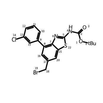 CC(C)(C)OC(=O)Nc1nc2c(-c3cccc(Cl)c3)cc(CBr)cc2s1